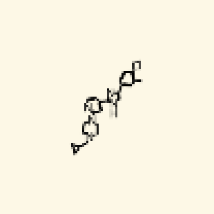 Cc1cc(-c2c[nH]c(-c3ccnc(N4CCN(CC5CC5)CC4)c3)n2)ccc1Cl